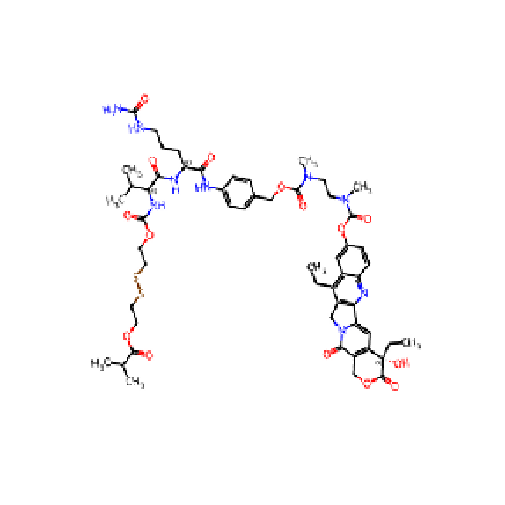 CCc1c2c(nc3ccc(OC(=O)N(C)CCN(C)C(=O)OCc4ccc(NC(=O)[C@H](CCCNC(N)=O)NC(=O)[C@@H](NC(=O)OCCSSCCOC(=O)C(C)C)C(C)C)cc4)cc13)-c1cc3c(c(=O)n1C2)COC(=O)[C@]3(O)CC